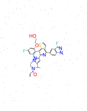 C=CC(=O)N1CCn2nc(-c3nc(-c4ccc5c(c4)c(F)nn5C)c4ccsc4c3-c3c(F)cc(F)cc3OCCO)cc2C1C